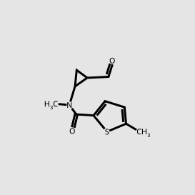 Cc1ccc(C(=O)N(C)C2CC2C=O)s1